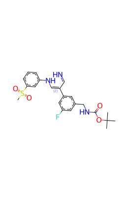 CC(C)(C)OC(=O)NCc1cc(F)cc(/C(C=N)=C/Nc2cccc(S(C)(=O)=O)c2)c1